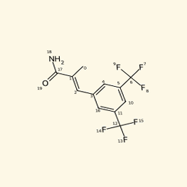 C/C(=C\c1cc(C(F)(F)F)cc(C(F)(F)F)c1)C(N)=O